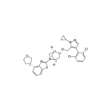 Clc1cccc(Cl)c1-c1cnn(C2CC2)c1CO[C@@H]1C[C@@H]2C[C@H]1CN2c1nc2c([C@@H]3CCOC3)cccc2s1